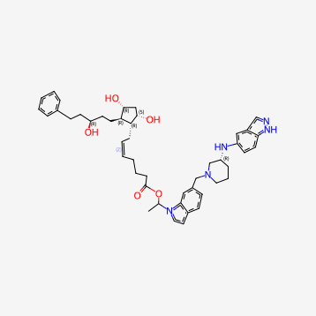 CC(OC(=O)CCC/C=C\C[C@@H]1[C@@H](CC[C@@H](O)CCc2ccccc2)[C@H](O)C[C@@H]1O)n1ccc2ccc(CN3CCC[C@@H](Nc4ccc5[nH]ncc5c4)C3)cc21